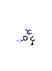 COc1c(Nc2cc(Nc3ccc(C4CC4)cn3)nc3[nH]n(C)c(=O)c23)cccc1-c1nnn(C)n1